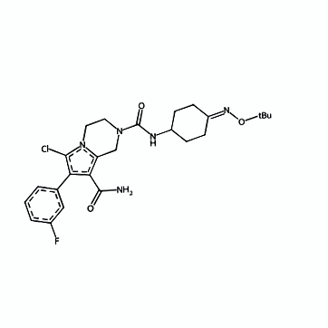 CC(C)(C)ON=C1CCC(NC(=O)N2CCn3c(Cl)c(-c4cccc(F)c4)c(C(N)=O)c3C2)CC1